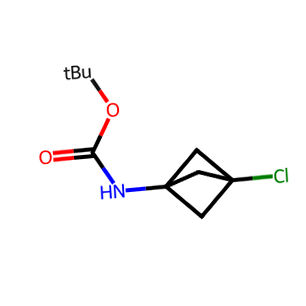 CC(C)(C)OC(=O)NC12CC(Cl)(C1)C2